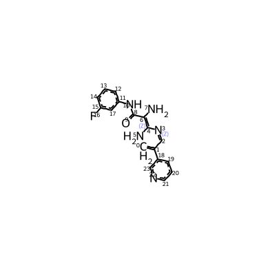 C=C(/C=N\C(N)=C(/N)C(=O)Nc1cccc(F)c1)c1cccnc1